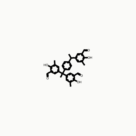 Cc1cc(C(C)c2ccc(C(C)(c3cc(C)c(O)c(C=O)c3)c3cc(C)c(O)c(C=O)c3)cc2)cc(C=O)c1O